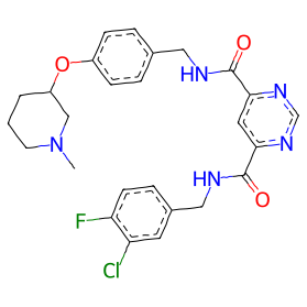 CN1CCCC(Oc2ccc(CNC(=O)c3cc(C(=O)NCc4ccc(F)c(Cl)c4)ncn3)cc2)C1